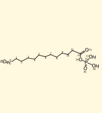 CCCCCCCCCCCCCCCCCCCCCC(=O)OP(=O)(O)O